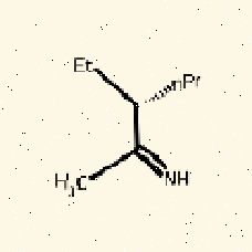 [CH2]CC[C@@H](CC)C(C)=N